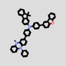 CN1c2ccccc2N(c2ccccc2)c2ccc(-c3ccc(N(c4ccc(-c5ccc6oc7ccccc7c6c5)cc4)c4ccc5c(c4)C(C)(C)c4ccccc4-5)cc3)cc21